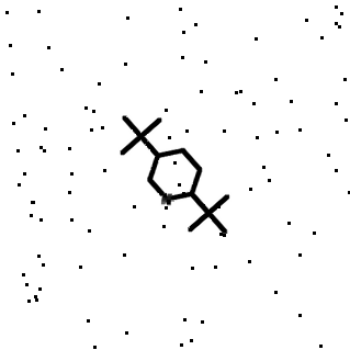 CC(C)(C)C1CCC(C(C)(C)C)[N]C1